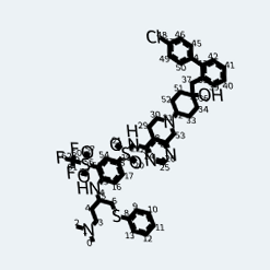 CN(C)CCC(CSc1ccccc1)Nc1ccc(S(=O)(=O)Nc2ncnc3c2CCN(C2CCC(O)(Cc4ccccc4-c4ccc(Cl)cc4)CC2)C3)cc1S(=O)(=O)C(F)(F)F